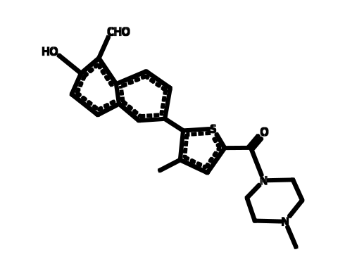 Cc1cc(C(=O)N2CCN(C)CC2)sc1-c1ccc2c(C=O)c(O)ccc2c1